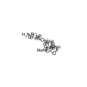 CN[C@@H](C)C(=O)NC1CN(C(=O)Nc2ccc(NC(=O)N3CCC(=O)N4C(CCC4C(N)=O)CC3)cc2)CC[C@H]2CC[C@@H](C(=O)N[C@H]3C[C@H]3c3ccccc3)N2C1=O